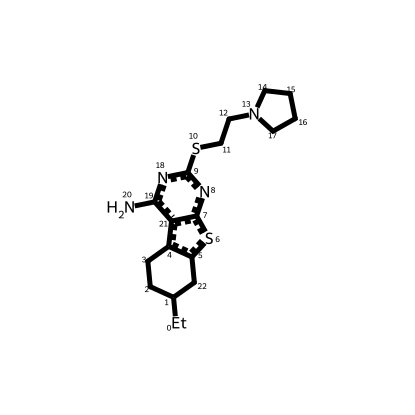 CCC1CCc2c(sc3nc(SCCN4CCCC4)nc(N)c23)C1